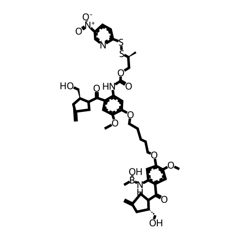 C=C1CC(C(=O)c2cc(OC)c(OCCCCCOc3cc(NC(=O)OC[C@H](C)SSc4ccc([N+](=O)[O-])cn4)c(C(=O)C4CC(=C)C[C@H]4CO)cc3OC)cc2NB(C)O)[C@H](CO)C1